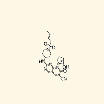 CC(C)=CCS(=O)(=O)N1CCC(Nc2ncc3cc(C#N)c(=O)n([C@@H]4CCC[C@@]4(C)O)c3n2)CC1